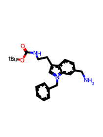 CC(C)(C)OC(=O)NCCc1cn(Cc2ccccc2)c2cc(CN)ccc12